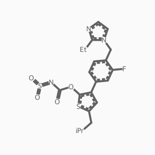 CCc1nccn1Cc1ccc(-c2cc(CC(C)C)sc2OC(=O)N=S(=O)=O)cc1F